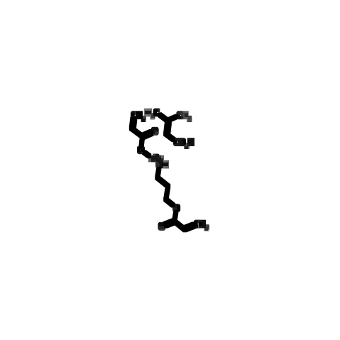 C=CC(=O)OCCCC.C=CC(=O)OCCCO.CC(C)=CC(=O)O